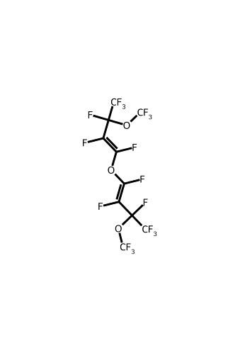 FC(OC(F)=C(F)C(F)(OC(F)(F)F)C(F)(F)F)=C(F)C(F)(OC(F)(F)F)C(F)(F)F